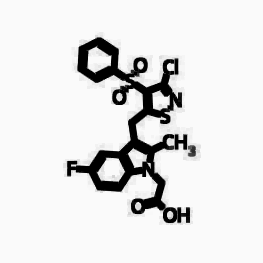 Cc1c(Cc2snc(Cl)c2S(=O)(=O)c2ccccc2)c2cc(F)ccc2n1CC(=O)O